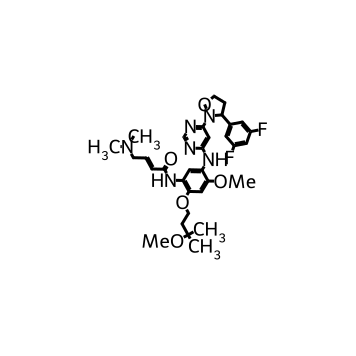 COc1cc(OCCC(C)(C)OC)c(NC(=O)/C=C/CN(C)C)cc1Nc1cc(N2OCCC2c2cc(F)cc(F)c2)ncn1